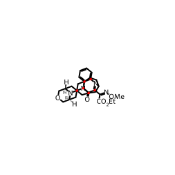 CCOC(=O)C(=NOC)c1nc2ccccc2n(C2C[C@H]3COC[C@H](C2)N3C2CC3CCCCC(C3)C2)c1=O